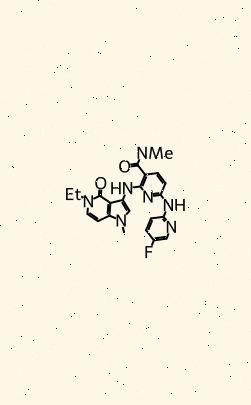 CCn1ccc2c(c(Nc3nc(Nc4ccc(F)cn4)ccc3C(=O)NC)cn2C)c1=O